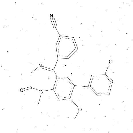 COc1cc2c(cc1-c1cccc(Cl)c1)C(c1cccc(C#N)c1)=NCC(=O)N2C